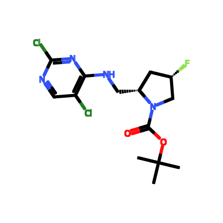 CC(C)(C)OC(=O)N1C[C@@H](F)C[C@H]1CNc1nc(Cl)ncc1Cl